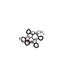 C=C1CC2(C)c3ccccc3N3c4cncnc4N(C)C3C2C2N(c3ccccc3)c3ccccc3N2c2ccccc21